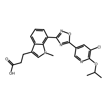 CC(C)Oc1ncc(-c2nc(-c3cccc4c(CCC(=O)O)cn(C)c34)no2)cc1Cl